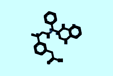 C[C@@H](CN[C@H](c1ccccc1)[C@@H]1CNc2cccnc2N1)c1cccc(CC(=O)O)c1